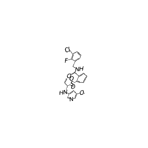 C=CC(Nc1cncc(OC)c1)S(=O)(=O)c1ccccc1C(=O)NCc1cccc(Cl)c1F